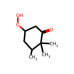 CC1CC(OO)CC(=O)C1(C)C